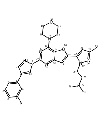 Cc1cccc(-c2cnn(-c3nc(N4CCOCC4)c4oc(-c5cc(C)nn5CCN(C)C)cc4n3)c2)c1